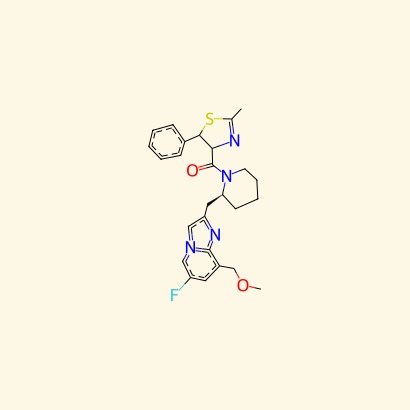 COCc1cc(F)cn2cc(C[C@@H]3CCCCN3C(=O)C3N=C(C)SC3c3ccccc3)nc12